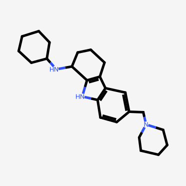 c1cc2[nH]c3c(c2cc1CN1CCCCC1)CCCC3NC1CCCCC1